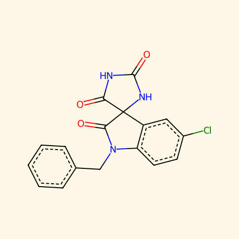 O=C1NC(=O)C2(N1)C(=O)N(Cc1ccccc1)c1ccc(Cl)cc12